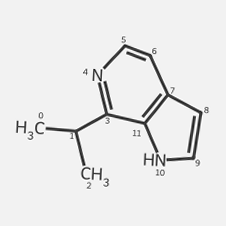 CC(C)c1nccc2cc[nH]c12